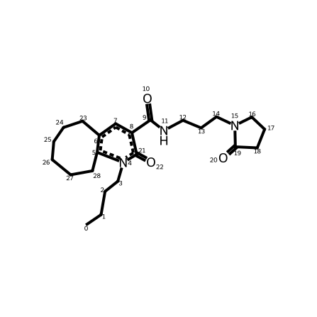 CCCCn1c2c(cc(C(=O)NCCCN3CCCC3=O)c1=O)CCCCCC2